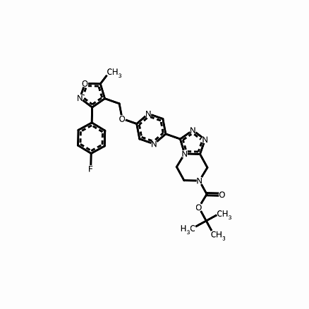 Cc1onc(-c2ccc(F)cc2)c1COc1cnc(-c2nnc3n2CCN(C(=O)OC(C)(C)C)C3)cn1